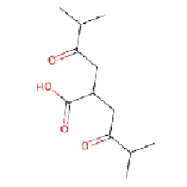 CC(C)C(=O)CC(CC(=O)C(C)C)C(=O)O